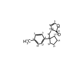 Cc1ccc(C2(Cn3ccoc3=O)CCCC2)cc1